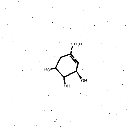 O=C(O)C1=C[C@@H](O)C(O)C(O)C1